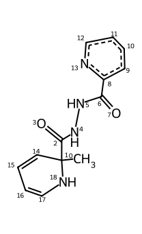 CC1(C(=O)NNC(=O)c2ccccn2)C=CC=CN1